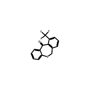 O=C1c2ccccc2SCc2cccc(C(F)(F)F)c21